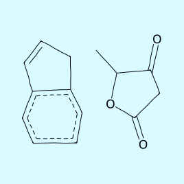 C1=Cc2ccccc2C1.CC1OC(=O)CC1=O